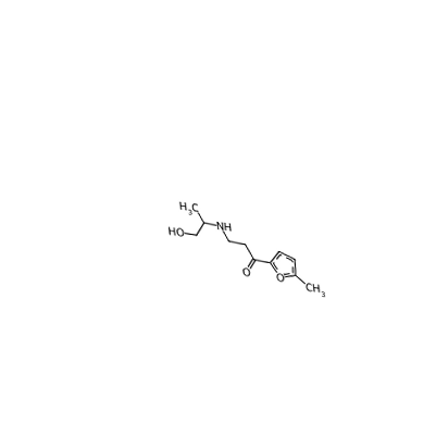 Cc1ccc(C(=O)CCNC(C)CO)o1